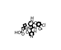 COc1c(Cl)cccc1Nc1c(-c2ccncc2OC[C@@H]2N(C(=O)O)CC23CCC3)[nH]c2c1C(=O)NCC2